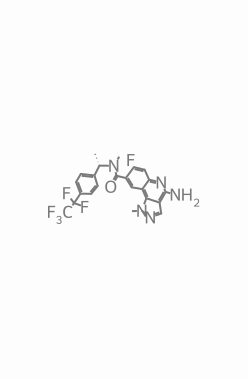 C[C@@H](c1ccc(C(F)(F)C(F)(F)F)cc1)N(C)C(=O)c1cc2c(cc1F)nc(N)c1cnn(C)c12